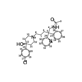 CC(=O)NCC(CCCN1CCC(O)(c2ccc(Cl)cc2)CC1)(c1ccccc1)c1ccccn1